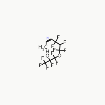 C/C=C\C(F)(F)C(F)C(F)(F)OC(F)(F)C(O)(F)C(F)(F)F